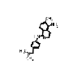 Cc1ccc2c(Nc3ccc(CN(C)C)cc3)nccc2c1N